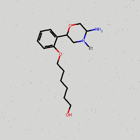 CCN1CC(c2ccccc2OCCCCCCO)OCC1N